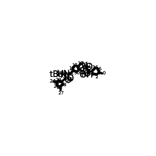 Cc1ccc(S(=O)(=O)N2N=Cc3ccc(C(=O)NN(C(=O)c4cc(C)cc(C)c4)C(C)(C)C)cc3B2O)cc1